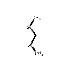 C[Se][C][Se]C